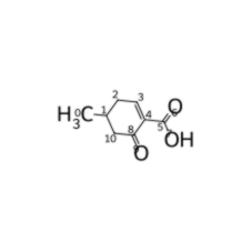 CC1CC=C(C(=O)O)C(=O)C1